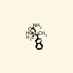 CC(c1cc2ccccc2s1)[N+](C)(O)CC(N)=O